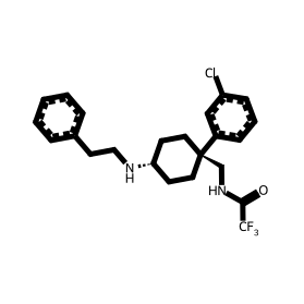 O=C(NC[C@]1(c2cccc(Cl)c2)CC[C@@H](NCCc2ccccc2)CC1)C(F)(F)F